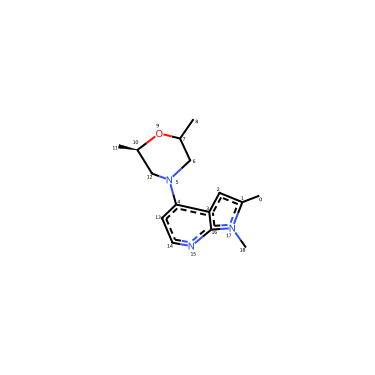 Cc1cc2c(N3CC(C)O[C@H](C)C3)ccnc2n1C